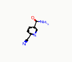 N#Cc1ccc(C(N)=O)cn1